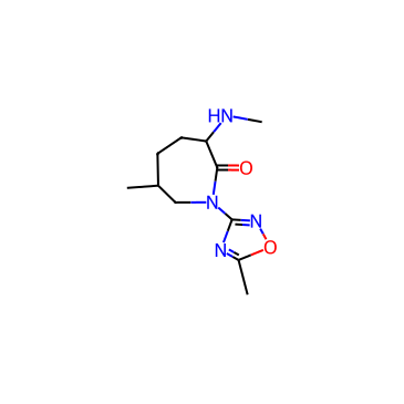 CNC1CCC(C)CN(c2noc(C)n2)C1=O